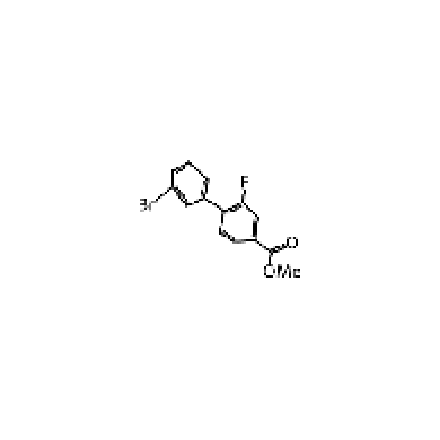 COC(=O)c1ccc(-c2cccc(Br)c2)c(F)c1